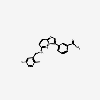 NC(=O)c1cccc(-c2cnc3ccc(NCc4cc(F)ccc4F)nn23)c1